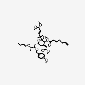 C=CCCCCC(=O)O[C@H]1/C(=C/C(=O)OC)C[C@@H](C[C@@H](OCc2ccc(OC)cc2)[C@@H](C)OCCCC)O[C@@]1(OC)C(C)(C)/C=C/C(OC)OC